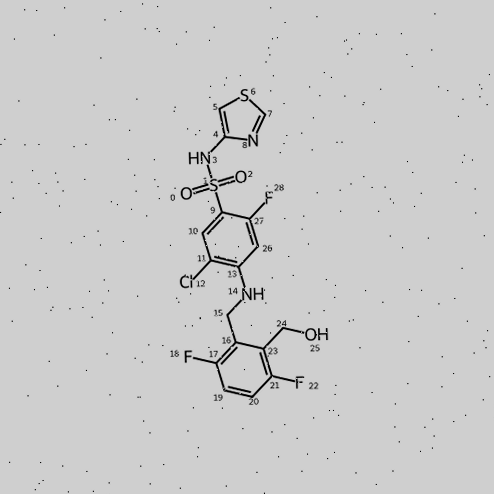 O=S(=O)(Nc1cscn1)c1cc(Cl)c(NCc2c(F)ccc(F)c2CO)cc1F